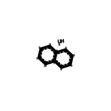 [LiH].c1ccc2ccccc2c1